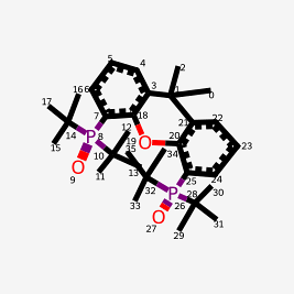 CC1(C)c2cccc(P(=O)(C(C)(C)C)C(C)(C)C)c2Oc2c1cccc2P(=O)(C(C)(C)C)C(C)(C)C